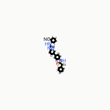 N#Cc1ccccc1Nc1nc2ccc(-c3ccc(NC(=O)C(F)c4ccccc4)cc3)cn2n1